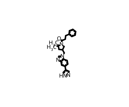 CC1(C)CC(Cn2cnc3cc(-c4cn[nH]c4)ccc32)CN1C(=O)CCc1ccccc1